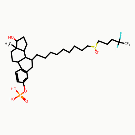 CC12CCC3c4ccc(OP(=O)(O)O)cc4CC(CCCCCCCCC[S+]([O-])CCCC(F)(F)C(F)(F)F)C3C1CCC2O